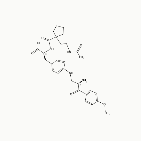 COc1ccc(C(=O)[C@H](N)CNc2ccc(C[C@H](NC(=O)C3(CCNC(C)=O)CCCC3)C(=O)O)cc2)cc1